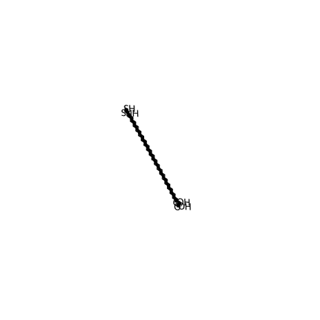 O=P(O)(O)OCCCCCCCCCCCCCCCCCCCCCCCCCCCCCCCCCCCCNC(=S)S